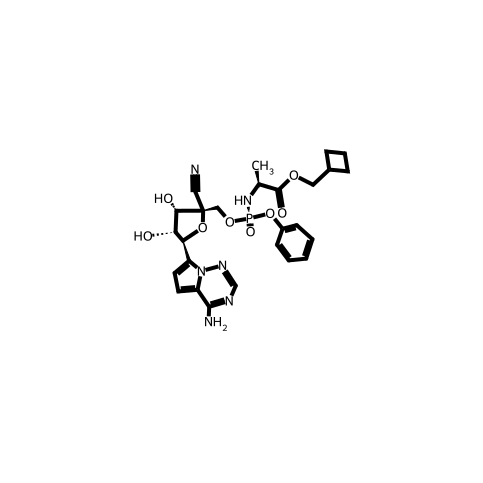 C[C@H](N[P@](=O)(OC[C@@]1(C#N)O[C@@H](c2ccc3c(N)ncnn23)[C@H](O)[C@@H]1O)Oc1ccccc1)C(=O)OCC1CCC1